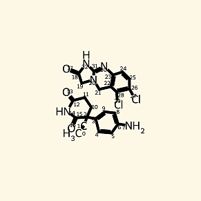 CCC1(c2ccc(N)cc2)CCC(=O)NC1=O.O=C1CN2Cc3c(ccc(Cl)c3Cl)N=C2N1